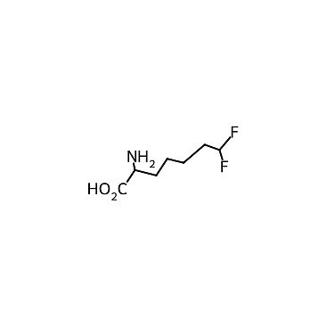 NC(CCCCC(F)F)C(=O)O